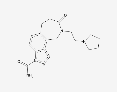 NC(=O)n1ncc2c3c(ccc21)C[CH]C(=O)N(CCN1CCCC1)C3